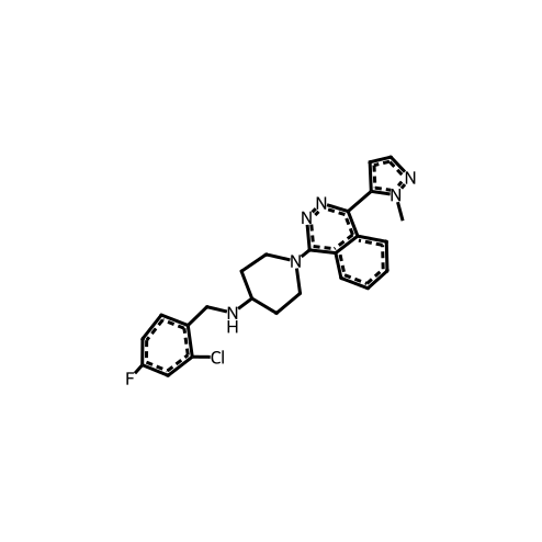 Cn1nccc1-c1nnc(N2CCC(NCc3ccc(F)cc3Cl)CC2)c2ccccc12